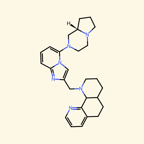 c1cnc2c(c1)CCC1CCCN(Cc3cn4c(N5CCN6CCC[C@H]6C5)cccc4n3)C21